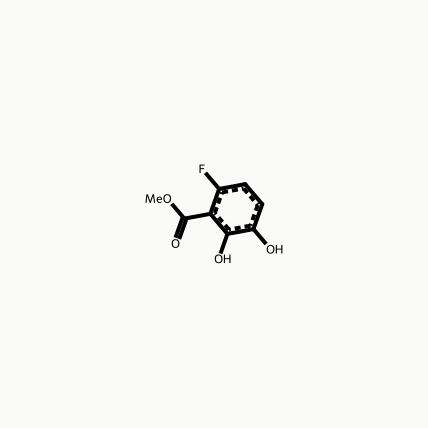 COC(=O)c1c(F)ccc(O)c1O